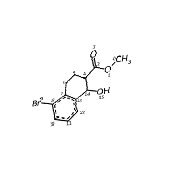 COC(=O)C1CCc2c(Br)cccc2C1O